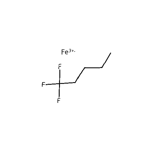 CCCCC(F)(F)F.[Fe+3]